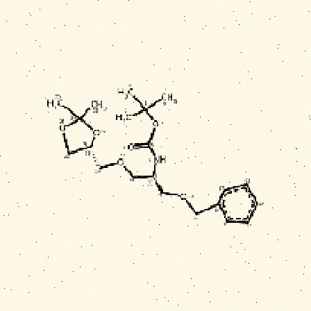 CC(C)(C)OC(=O)N[C@@H](COCc1ccccc1)COC[C@@H]1COC(C)(C)O1